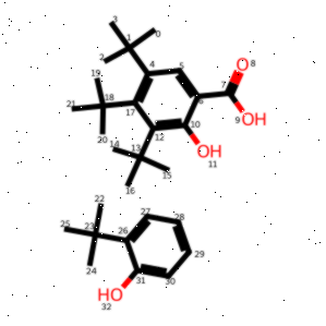 CC(C)(C)c1cc(C(=O)O)c(O)c(C(C)(C)C)c1C(C)(C)C.CC(C)(C)c1ccccc1O